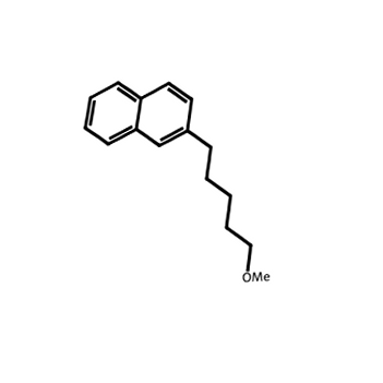 COCCCCCc1ccc2ccccc2c1